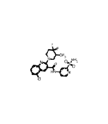 CC1CN(c2nc3cccc(Cl)c3cc2C(=O)Nc2ccnc(S(N)(=O)=O)c2)CCC1(F)F